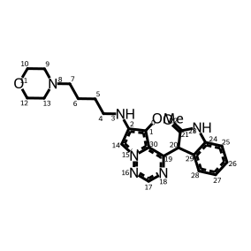 COc1c(NCCCCN2CCOCC2)cn2ncnc(C3C(=O)Nc4ccccc43)c12